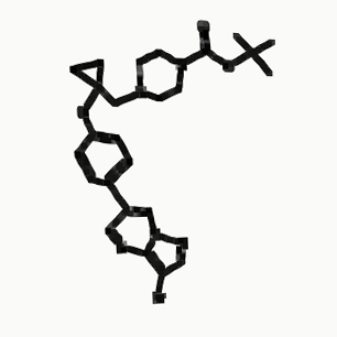 CC(C)(C)OC(=O)N1CCN(CC2(Oc3ccc(-c4cnc5c(Br)cnn5c4)cc3)CC2)CC1